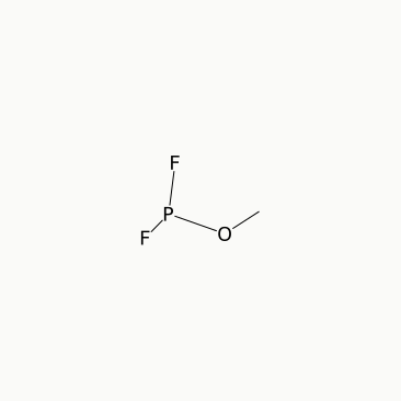 COP(F)F